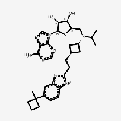 CC(C)N(C[C@H]1O[C@@H](n2cnc3c(N)ncnc32)[C@@H](O)[C@H]1O)[C@H]1C[C@H](CCc2nc3cc(C4(C)CCC4)ccc3[nH]2)C1